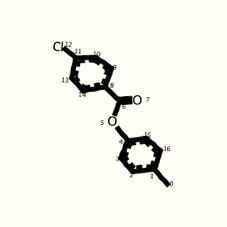 Cc1ccc(OC(=O)c2ccc(Cl)cc2)cc1